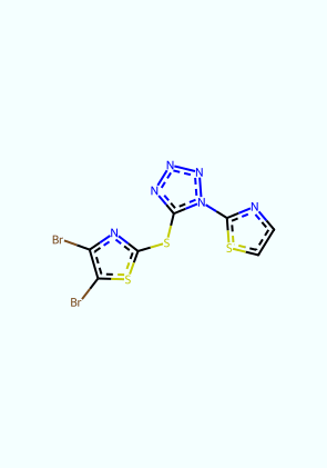 Brc1nc(Sc2nnnn2-c2nccs2)sc1Br